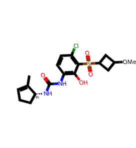 COC1CC(S(=O)(=O)c2c(Cl)ccc(NC(=O)N[C@@H]3CCC=C3C)c2O)C1